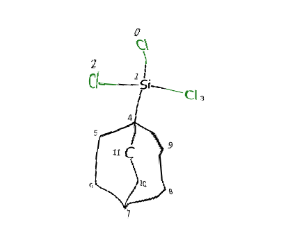 Cl[Si](Cl)(Cl)C12CCC(CC1)CC2